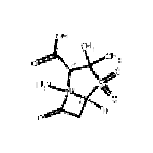 CC1(C)[C@H](C(=O)O)[N+]2(N)C(=O)C[C@H]2S1(=O)=O